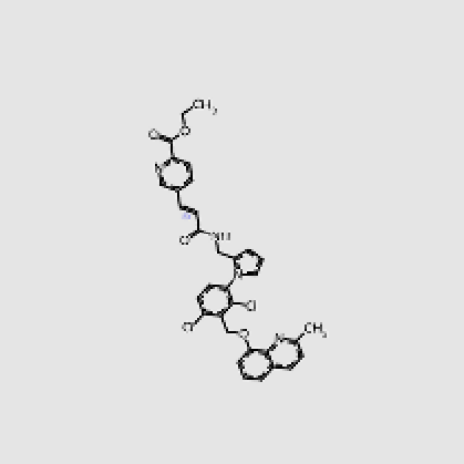 CCOC(=O)c1ccc(/C=C/C(=O)NCc2cccn2-c2ccc(Cl)c(COc3cccc4ccc(C)nc34)c2Cl)cn1